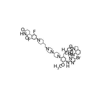 CCc1cc(Nc2ncc(Br)c(Nc3cccc4c3N(S(C)(=O)=O)CC4)n2)c(OC)cc1N1CCC(N2CCN(CCC3CCN(c4cc(F)c(C5CCC(=O)NC5=O)c(F)c4)CC3)CC2)CC1